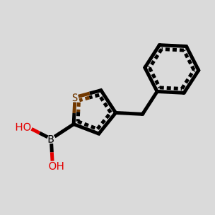 OB(O)c1cc(Cc2ccccc2)cs1